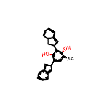 CC(=O)c1cc(C2C=c3ccccc3=C2)c(O)c(C2C=C3C=CC=CC3C2)c1O